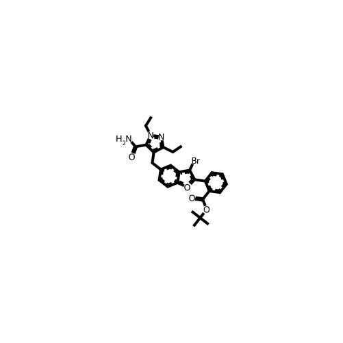 CCc1nn(CC)c(C(N)=O)c1Cc1ccc2oc(-c3ccccc3C(=O)OC(C)(C)C)c(Br)c2c1